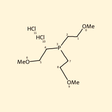 COCCP(CCOC)CCOC.Cl.Cl